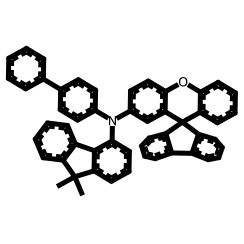 CC1(C)c2ccccc2-c2c(N(c3ccc(-c4ccccc4)cc3)c3ccc4c(c3)C3(c5ccccc5O4)c4ccccc4-c4ccccc43)cccc21